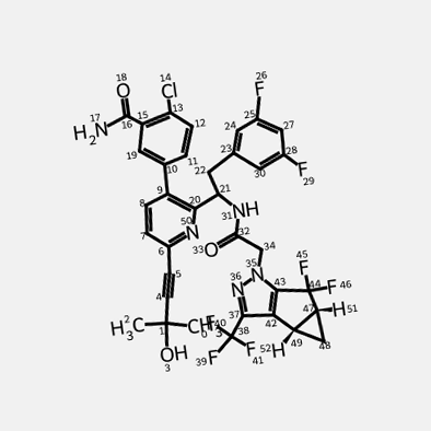 CC(C)(O)C#Cc1ccc(-c2ccc(Cl)c(C(N)=O)c2)c(C(Cc2cc(F)cc(F)c2)NC(=O)Cn2nc(C(F)(F)F)c3c2C(F)(F)[C@@H]2C[C@H]32)n1